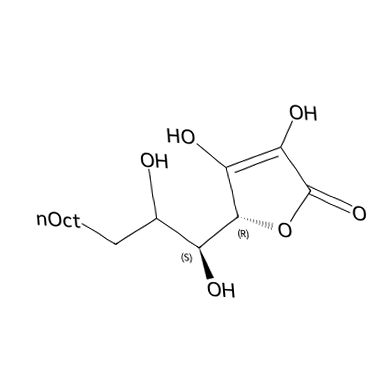 CCCCCCCCCC(O)[C@H](O)[C@H]1OC(=O)C(O)=C1O